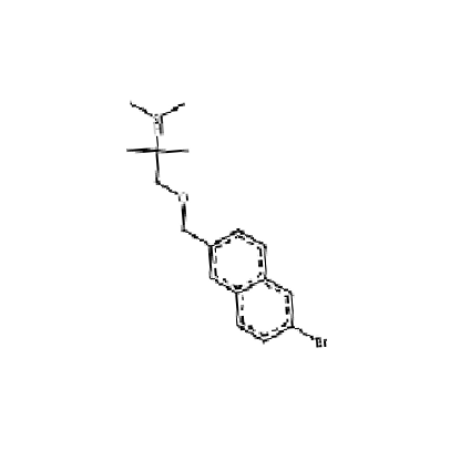 C[SiH](C)C(C)(C)COCc1ccc2cc(Br)ccc2c1